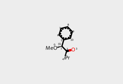 CO[C@H](C(=O)C(C)C)c1ccccc1